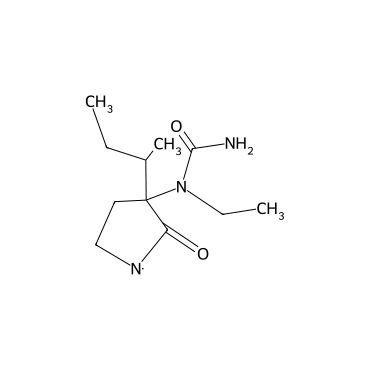 CCC(C)C1(N(CC)C(N)=O)CC[N]C1=O